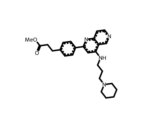 COC(=O)CCc1ccc(-c2cc(NCCCN3CCCCC3)c3cnccc3n2)cc1